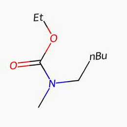 CCCCCN(C)C(=O)OCC